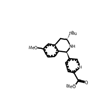 CCCC[C@H]1Cc2cc(OC)ccc2[C@H](c2ccc(C(=O)OC)nc2)N1